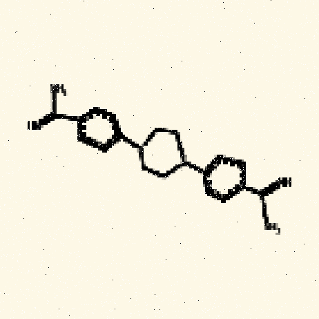 N=C(N)c1ccc(N2CCN(c3ccc(C(=N)N)cc3)CC2)cc1